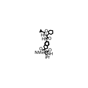 CNC(=O)C1(N2C[C@@H](C(C)C)NC2=O)Cc2ccc(NC(=O)[C@@H](NC(=O)C3CC3)C3CCCCC3)cc2C1